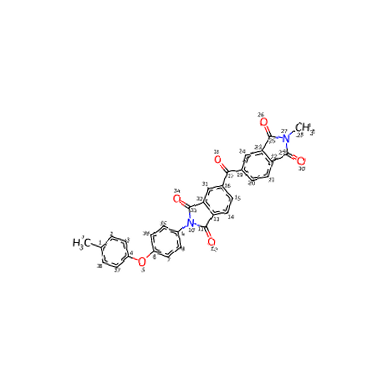 Cc1ccc(Oc2ccc(N3C(=O)c4ccc(C(=O)c5ccc6c(c5)C(=O)N(C)C6=O)cc4C3=O)cc2)cc1